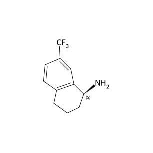 N[C@H]1CCCc2ccc(C(F)(F)F)cc21